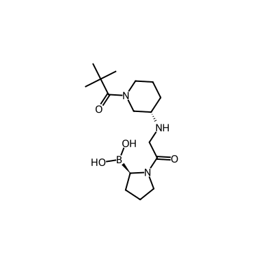 CC(C)(C)C(=O)N1CCC[C@H](NCC(=O)N2CCC[C@H]2B(O)O)C1